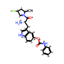 N#CC1CC(F)CN1C(=O)[C@@H](N)Cc1c[nH]c2ccc(OC(=O)Nc3ccccc3)cc12